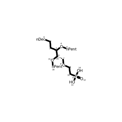 CCCCCCCCCCCCC(OCCCCC)[C@H](COCCP(=O)(O)O)OCCCCC